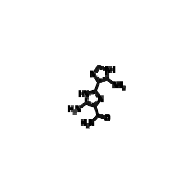 NC(=O)c1nc(-c2nc[nH]c2N)[nH]c1N